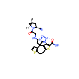 CNC(=O)c1cc2c(s1)CCc1sccc1C2(CCNCC(=O)N1[C@H](C#N)C[C@@H]2C[C@@H]21)c1nn[nH]n1